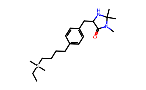 CC[Si](C)(C)CCCCc1ccc(CC2NC(C)(C)N(C)C2=O)cc1